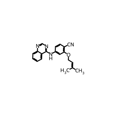 CC(C)=CCOc1cc(Nc2ncnc3ccccc23)ccc1C#N